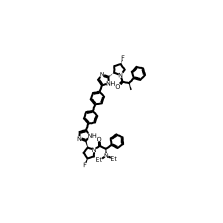 CCN(CC)[C@@H](C(=O)N1C[C@@H](F)C[C@H]1c1ncc(-c2ccc(-c3ccc(-c4cnc([C@@H]5C[C@H](F)CN5C(=O)[C@H](C)c5ccccc5)[nH]4)cc3)cc2)[nH]1)c1ccccc1